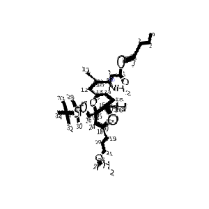 CCCCOC(=O)/C=C(\N)[C@H](C)C[C@H]1CC[C@@H]2O[C@@H](CCCOP)C[C@]2(CO[Si](C)(C)C(C)(C)C)O1